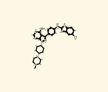 CN1CCN([C@H]2CC[C@@H](n3nc(-c4ccc(Nc5nc6cc(Cl)ccc6o5)cc4)c4c(N)ncnc43)CC2)CC1